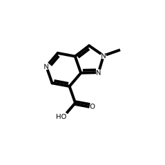 Cn1cc2cncc(C(=O)O)c2n1